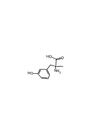 CC(N)(Cc1cccc(O)c1)C(=O)O